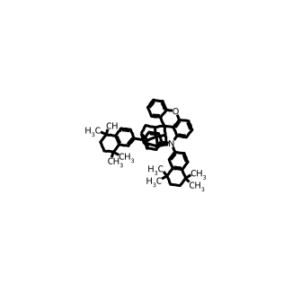 CC1(C)CCC(C)(C)c2cc(-c3ccc(N(c4ccc5c(c4)C(C)(C)CCC5(C)C)c4cccc5c4C4(c6ccccc6O5)C5CC6CC7CC4C75C6)cc3)ccc21